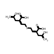 C=C(O)CC(=CCSCC=C(CC(=C)O)C(=O)O)C(=O)O